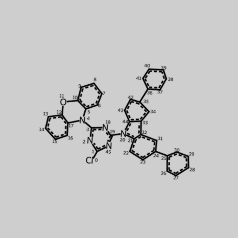 Clc1nc(N2c3ccccc3Oc3ccccc32)nc(-n2c3ccc(-c4ccccc4)cc3c3cc(-c4ccccc4)ccc32)n1